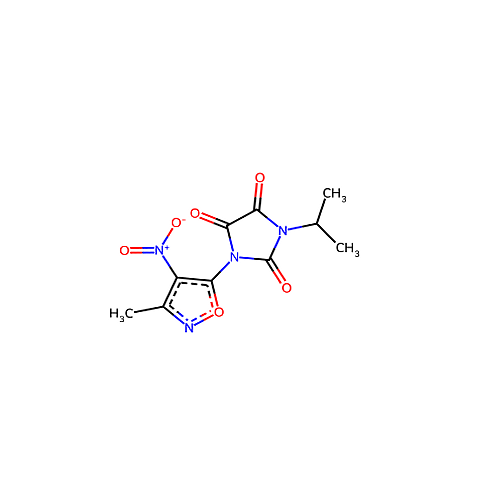 Cc1noc(N2C(=O)C(=O)N(C(C)C)C2=O)c1[N+](=O)[O-]